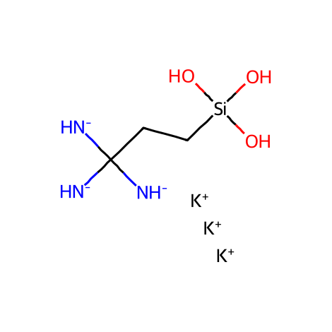 [K+].[K+].[K+].[NH-]C([NH-])([NH-])CC[Si](O)(O)O